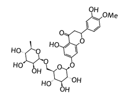 COc1ccc(C2CC(=O)c3c(O)cc(O[C@@H]4O[C@H](CO[C@@H]5O[C@H](C)[C@@H](O)[C@H](O)[C@@H]5O)[C@@H](O)[C@H](O)[C@H]4O)cc3O2)cc1O